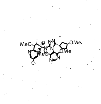 COc1ncnc(OC)c1-n1c(NS(=O)(=O)[C@@H](C)[C@H](OC)c2ncc(Cl)cn2)nnc1[C@H]1CC[C@@H](OC)C1